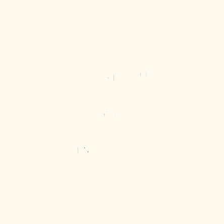 OC1(Cc2ccc(Cl)c(Cl)c2)CCNCC1